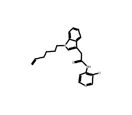 C=CCCCCn1cc(CC(=O)Nc2ccncc2Cl)c2ccccc21